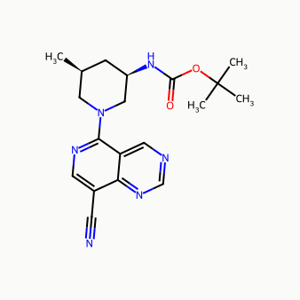 C[C@H]1C[C@@H](NC(=O)OC(C)(C)C)CN(c2ncc(C#N)c3ncncc23)C1